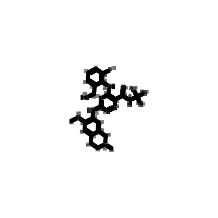 [2H]C([2H])([2H])NC(=O)c1nnc(Nc2cc3c(cc2OC)CCN(C)C3)nc1Nc1c(F)cccc1CO